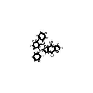 O=C1c2cc(N(c3ccccc3)c3cccc4c3oc3ccccc34)sc2C(=O)c2ccsc21